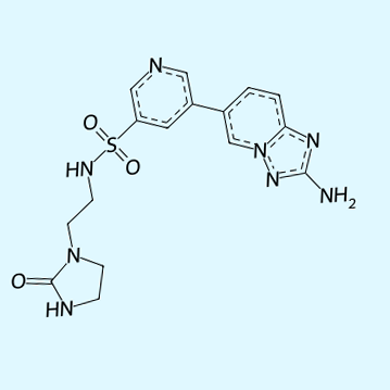 Nc1nc2ccc(-c3cncc(S(=O)(=O)NCCN4CCNC4=O)c3)cn2n1